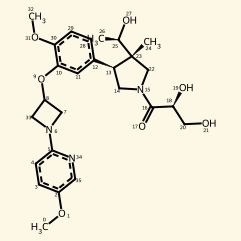 COc1ccc(N2CC(Oc3cc([C@@H]4CN(C(=O)[C@@H](O)CO)C[C@@]4(C)[C@@H](C)O)ccc3OC)C2)nc1